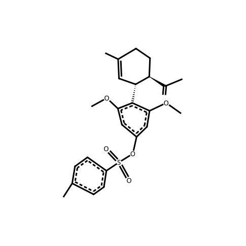 C=C(C)[C@@H]1CCC(C)=C[C@H]1c1c(OC)cc(OS(=O)(=O)c2ccc(C)cc2)cc1OC